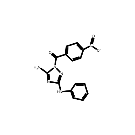 Nc1nc(Nc2ccccc2)nn1C(=O)c1ccc([N+](=O)[O-])cc1